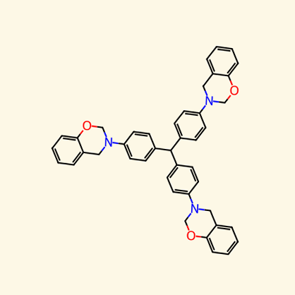 c1ccc2c(c1)CN(c1ccc(C(c3ccc(N4COc5ccccc5C4)cc3)c3ccc(N4COc5ccccc5C4)cc3)cc1)CO2